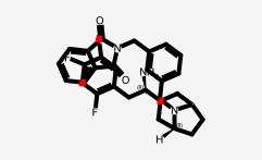 N[C@H](Cc1cc(F)c(F)cc1F)C1CC2CC[C@H](C1)N2Cc1cccc(CN2C(=O)c3ccccc3C2=O)c1